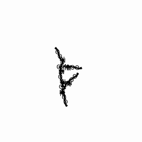 C#CCOCCOCc1cn(CCN(CCn2cc(COCCOCC#C)nn2)C(=O)c2cn(CCOCCn3cc(C(=O)N(CCn4cc(COCCOCC#C)nn4)CCn4cc(COCCOCC#C)nn4)nn3)nn2)nn1